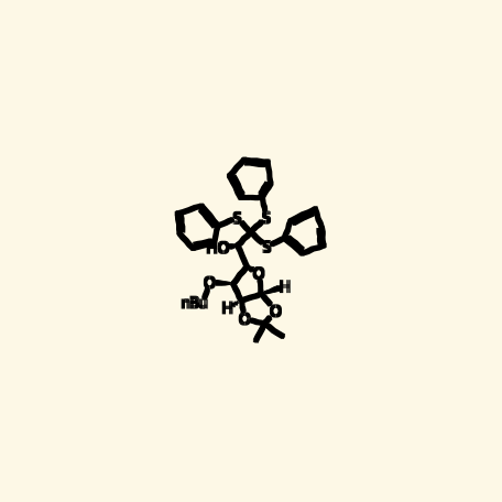 CCCCO[C@@H]1[C@@H]2OC(C)(C)O[C@H]2O[C@@H]1[C@@H](O)C(Sc1ccccc1)(Sc1ccccc1)Sc1ccccc1